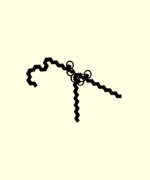 CC/C=C\C/C=C\C/C=C\C/C=C\C/C=C\CCCCCC(=O)OC[C@@H](COC(=O)CCCCCCCCCCCC)OC(=O)CCCCCCCCCCCC